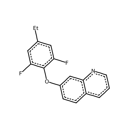 CCc1cc(F)c(Oc2ccc3cccnc3c2)c(F)c1